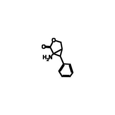 NC12C(=O)OCC1C2c1ccccc1